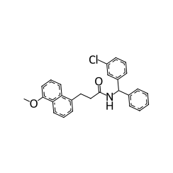 COc1cccc2c(CCC(=O)NC(c3ccccc3)c3cccc(Cl)c3)cccc12